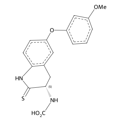 COc1cccc(Oc2ccc3c(c2)C[C@H](NC(=O)O)C(=S)N3)c1